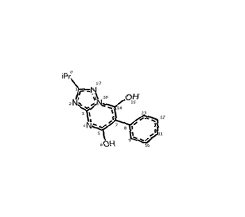 CC(C)c1nc2nc(O)c(-c3ccccc3)c(O)n2n1